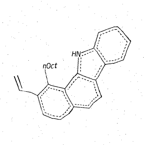 C=Cc1ccc2ccc3c4ccccc4[nH]c3c2c1CCCCCCCC